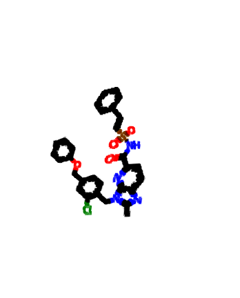 Cc1nc2ccc(C(=O)NS(=O)(=O)/C=C/c3ccccc3)nc2n1Cc1ccc(COc2ccccc2)cc1Cl